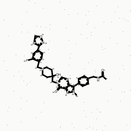 CC(=O)NCc1ccc(-c2c3ncn(CC4(O)CCN(Cc5ccc(-c6ncon6)cc5F)CC4)c(=O)c3nn2C)cc1